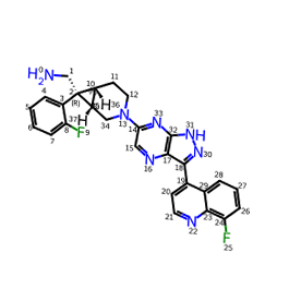 NC[C@]1(c2ccccc2F)[C@@H]2CCN(c3cnc4c(-c5ccnc6c(F)cccc56)n[nH]c4n3)C[C@@H]21